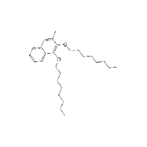 CCCCCCCCOc1c(C)cc2ccccc2c1OCCCCCCCC